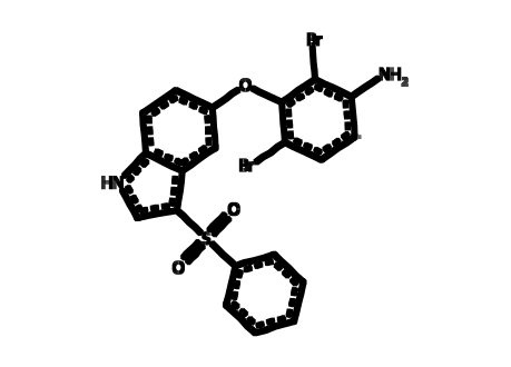 Nc1[c]cc(Br)c(Oc2ccc3[nH]cc(S(=O)(=O)c4ccccc4)c3c2)c1Br